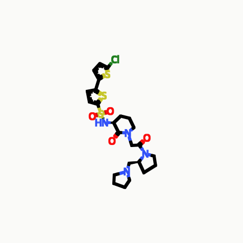 O=C1[C@@H](NS(=O)(=O)c2ccc(-c3ccc(Cl)s3)s2)CCCN1CC(=O)N1CCC[C@H]1CN1CCCC1